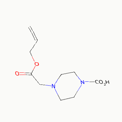 C=CCOC(=O)CN1CCN(C(=O)O)CC1